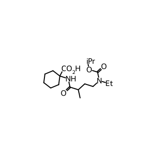 CCN(CCC(C)C(=O)NC1(C(=O)O)CCCCC1)C(=O)OC(C)C